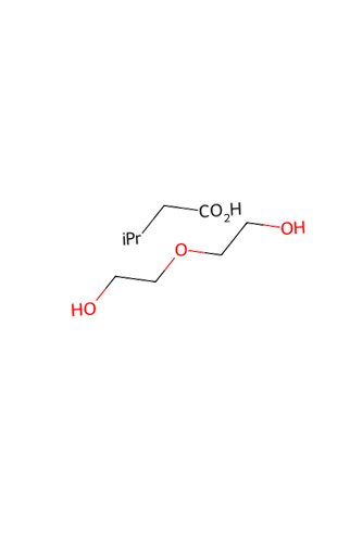 CC(C)CC(=O)O.OCCOCCO